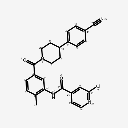 Cc1ccc(C(=O)N2CCC(c3ccc(C#N)cc3)CC2)cc1NC(=O)c1ccnc(Cl)c1